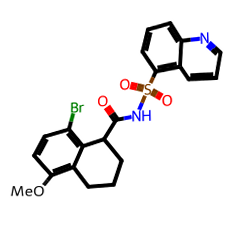 COc1ccc(Br)c2c1CCCC2C(=O)NS(=O)(=O)c1cccc2ncccc12